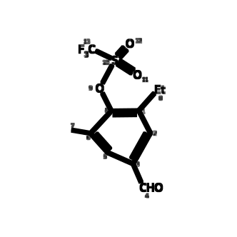 CCc1cc(C=O)cc(C)c1OS(=O)(=O)C(F)(F)F